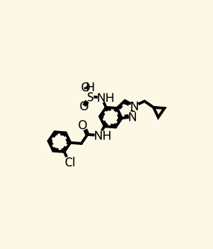 O=C(Cc1ccccc1Cl)Nc1cc(N[SH](=O)=O)c2cn(CC3CC3)nc2c1